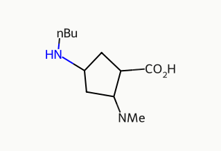 CCCCNC1CC(NC)C(C(=O)O)C1